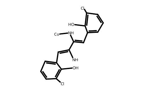 [NH]C(=Cc1cccc(Cl)c1O)C(=Cc1cccc(Cl)c1O)[NH][Co]